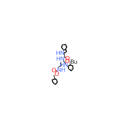 CCC(C)c1ccccc1NC(=O)[C@H](CCCNC(=O)OCc1ccccc1)NC(=O)c1cc2ccccc2[nH]1